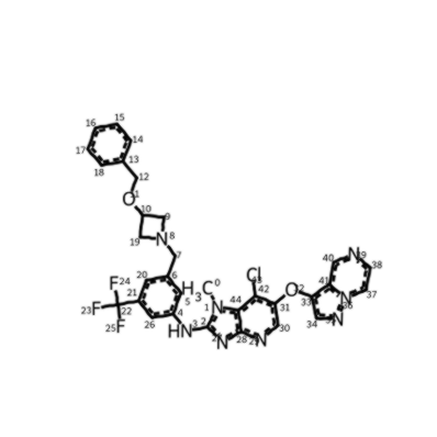 Cn1c(Nc2cc(CN3CC(OCc4ccccc4)C3)cc(C(F)(F)F)c2)nc2ncc(Oc3cnn4ccncc34)c(Cl)c21